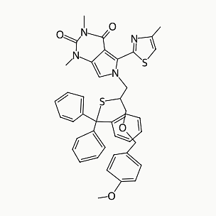 COc1ccc(COCC(Cn2cc3c(c2-c2nc(C)cs2)c(=O)n(C)c(=O)n3C)SC(c2ccccc2)(c2ccccc2)c2ccccc2)cc1